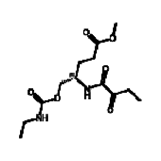 CCNC(=O)OC[C@H](CCC(=O)OC)NC(=O)C(=O)CC